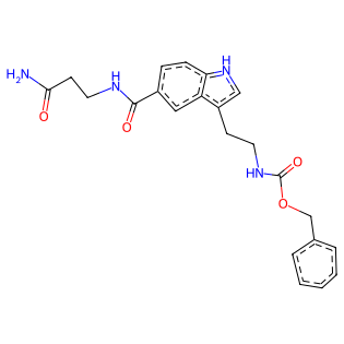 NC(=O)CCNC(=O)c1ccc2[nH]cc(CCNC(=O)OCc3ccccc3)c2c1